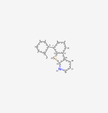 Cc1ccccc1-c1cccc2c1sc1ncccc12